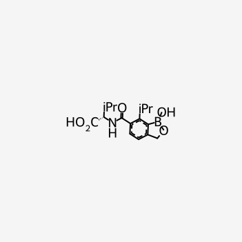 CC(C)c1c(C(=O)N[C@H](C(=O)O)C(C)C)ccc2c1B(O)OC2